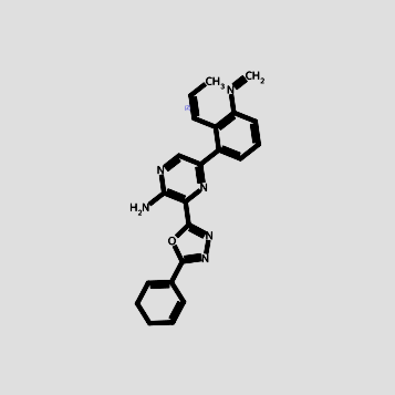 C=Nc1cccc(-c2cnc(N)c(-c3nnc(C4=CCCC=C4)o3)n2)c1/C=C\C